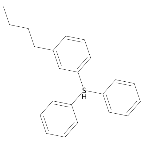 CCCCc1cccc([SH](c2ccccc2)c2ccccc2)c1